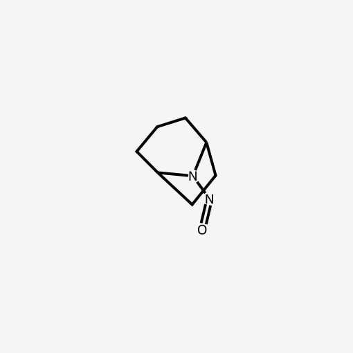 O=NN1C2CCCC1CC2